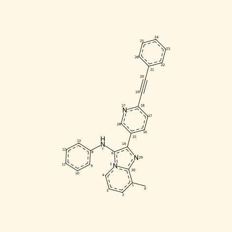 Cc1cccn2c(Nc3ccccc3)c(-c3ccc(C#Cc4ccccc4)nc3)nc12